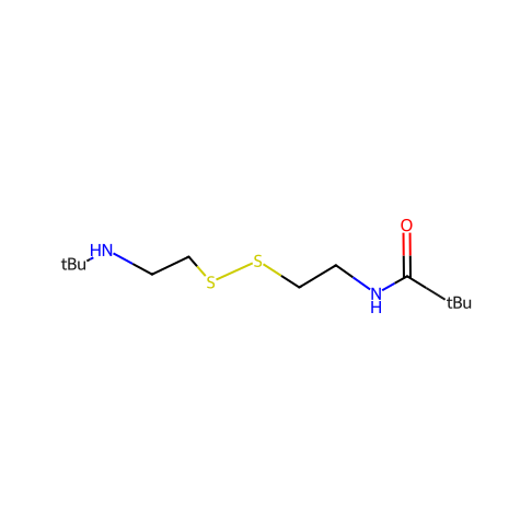 CC(C)(C)NCCSSCCNC(=O)C(C)(C)C